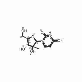 C[C@]1(O)C(n2ccc(=O)[nH]c2=O)O[C@H](CO)[C@H]1O